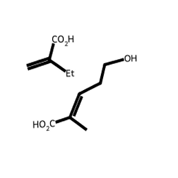 C=C(CC)C(=O)O.CC(=CCCO)C(=O)O